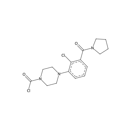 O=C(Cl)N1CCN(c2cccc(C(=O)N3CCCC3)c2Cl)CC1